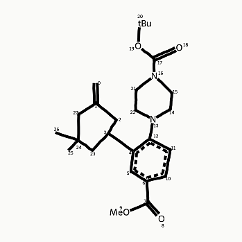 C=C1CC(c2cc(C(=O)OC)ccc2N2CCN(C(=O)OC(C)(C)C)CC2)CC(C)(C)C1